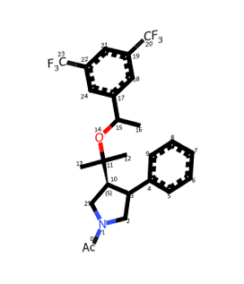 CC(=O)N1CC(c2ccccc2)[C@H](C(C)(C)OC(C)c2cc(C(F)(F)F)cc(C(F)(F)F)c2)C1